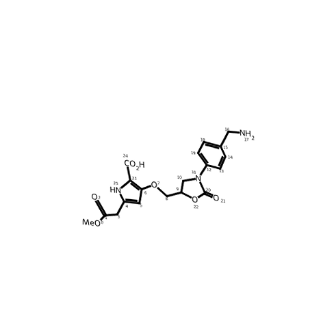 COC(=O)Cc1cc(OCC2CN(c3ccc(CN)cc3)C(=O)O2)c(C(=O)O)[nH]1